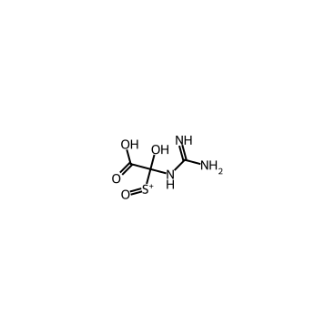 N=C(N)NC(O)([S+]=O)C(=O)O